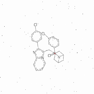 O=C(c1cccc(Cl)c1)N1C2CC1CN(Cc1c(-c3ccc(Cl)cc3)nc3ccccn13)C2